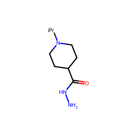 CC(C)N1CCC(C(=O)NN)CC1